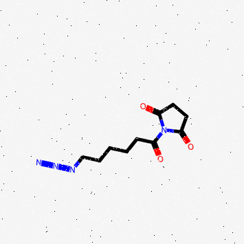 [N-]=[N+]=NCCCCCC(=O)N1C(=O)CCC1=O